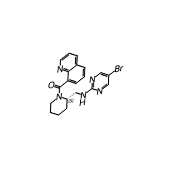 O=C(c1cccc2cccnc12)N1CCCC[C@H]1CNc1ncc(Br)cn1